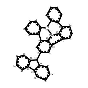 c1ccc2c(c1)B1c3ccccc3-c3cc(C4c5ccccc5-c5ccccc54)cc4c5cccc-2c5n1c34